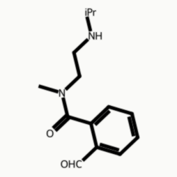 CC(C)NCCN(C)C(=O)c1ccccc1C=O